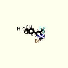 CC(C)(C)c1ccc(-c2cc(C(F)(F)F)c3ncc(Br)n3c2)cc1